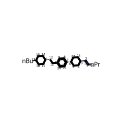 CCC/C=C/[C@H]1CC[C@H](c2ccc(CC[C@H]3CC[C@H](CCCC)CC3)cc2)CC1